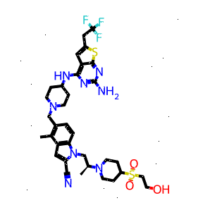 Cc1c(CN2CCC(Nc3nc(N)nc4sc(CC(F)(F)F)cc34)CC2)ccc2c1cc(C#N)n2C[C@H](C)N1CCC(S(=O)(=O)CCO)CC1